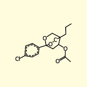 CCCC12COC(c3ccc(Cl)cc3)(CC1OC(C)=O)OC2